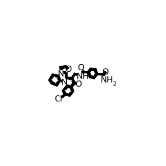 NC(=O)c1ccc(C(=O)NCc2c(-c3ncco3)n(-c3ccccc3)c3cc(Cl)ccc3c2=O)cc1